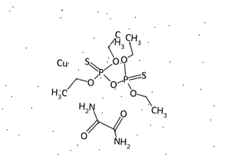 CCOP(=S)(OCC)OP(=S)(OCC)OCC.NC(=O)C(N)=O.[Cu]